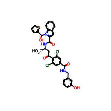 O=C(NCc1cccc(O)c1)c1cc(Cl)c(C(=O)CC(NC(=O)c2cc3ccccc3n2C(O)c2cccs2)C(=O)O)c(Cl)c1